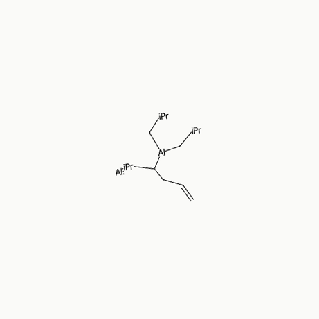 C=CC[CH](C(C)C)[Al]([CH2]C(C)C)[CH2]C(C)C.[Al]